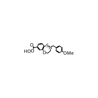 COc1ccc(CN2CCOc3cc(C(=O)OO)ccc3S2)cc1